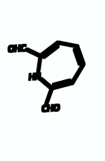 O=CC1=CC=CC=C(C=O)N1